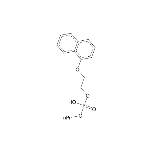 CCCOP(=O)(O)OCCOc1cccc2ccccc12